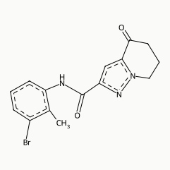 Cc1c(Br)cccc1NC(=O)c1cc2n(n1)CCCC2=O